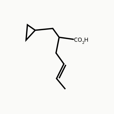 CC=CCC(CC1CC1)C(=O)O